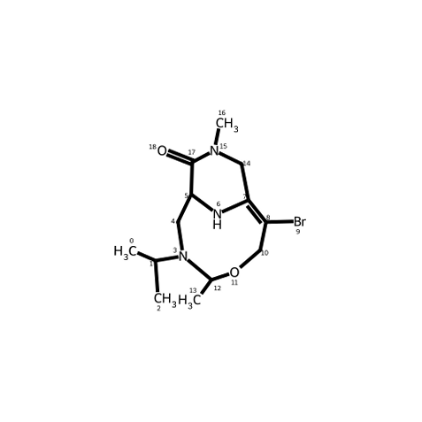 CC(C)N1CC2N/C(=C(/Br)COC1C)CN(C)C2=O